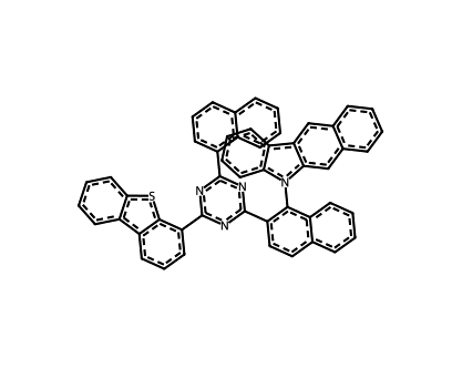 c1ccc2cc3c(cc2c1)c1ccccc1n3-c1c(-c2nc(-c3cccc4ccccc34)nc(-c3cccc4c3sc3ccccc34)n2)ccc2ccccc12